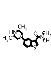 C[C@@H]1CN(c2ccc3scc(C(=O)N(C)C)c3c2)C[C@H](C)N1